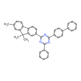 Cc1ccc2c(c1)C(C)(C)c1cc(-c3nc(-c4ccccc4)nc(-c4ccc(-c5ccccc5)cc4)n3)ccc1-2